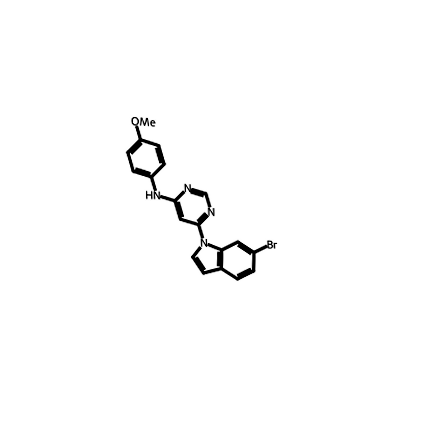 COc1ccc(Nc2cc(-n3ccc4ccc(Br)cc43)ncn2)cc1